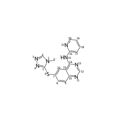 Cn1cnnc1Sc1ccc2ncnc(Nc3ccccn3)c2c1